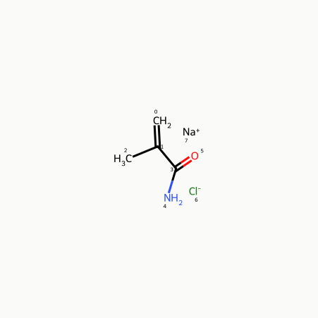 C=C(C)C(N)=O.[Cl-].[Na+]